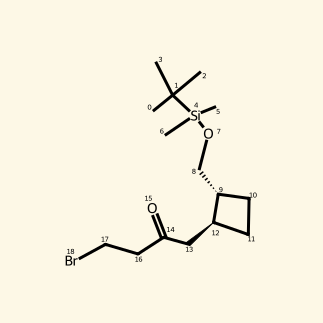 CC(C)(C)[Si](C)(C)OC[C@@H]1CC[C@H]1CC(=O)CCBr